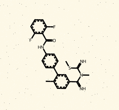 CSC(=N)N(C)C(=N)c1ccc(C)c(-c2ccc(NC(=O)c3c(F)cccc3F)cc2)c1